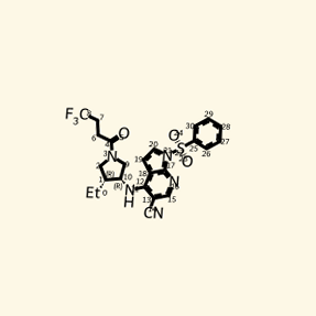 CC[C@@H]1CN(C(=O)CCC(F)(F)F)C[C@@H]1Nc1c(C#N)cnc2c1ccn2S(=O)(=O)c1ccccc1